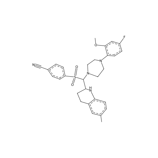 COc1cc(F)ccc1N1CCN(C(C2CCc3cc(C)ccc3N2)S(=O)(=O)c2ccc(C#N)cc2)CC1